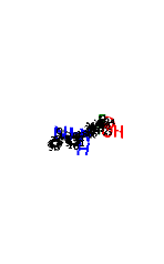 N=C(c1ccccc1)c1cccc(CNc2ccc(CC(F)(F)C(=O)O)cc2)c1